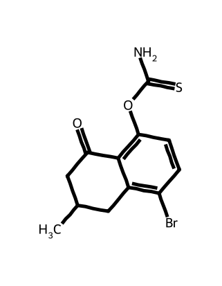 CC1CC(=O)c2c(OC(N)=S)ccc(Br)c2C1